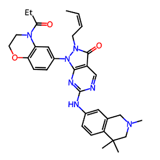 C/C=C\Cn1c(=O)c2cnc(Nc3ccc4c(c3)CN(C)CC4(C)C)nc2n1-c1ccc2c(c1)N(C(=O)CC)CCO2